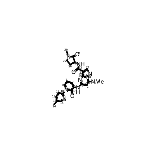 CNc1cc(Nc2cccn(-c3ccc(C)cn3)c2=O)nc2c(C(=O)N[C@@H]3CCN(C)C3=O)cnn12